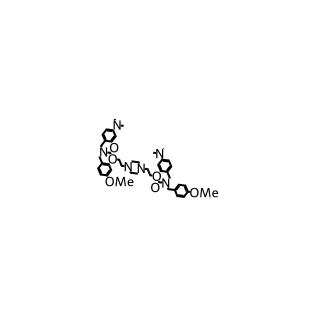 COc1ccc(CN(Cc2ccc(N(C)C)cc2)C(=O)OCCN2CCN(CCOC(=O)N(Cc3ccc(OC)cc3)Cc3ccc(N(C)C)cc3)CC2)cc1